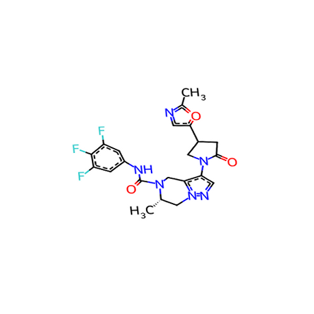 Cc1ncc(C2CC(=O)N(c3cnn4c3CN(C(=O)Nc3cc(F)c(F)c(F)c3)[C@@H](C)C4)C2)o1